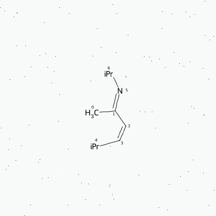 CC(/C=C\C(C)C)=N\C(C)C